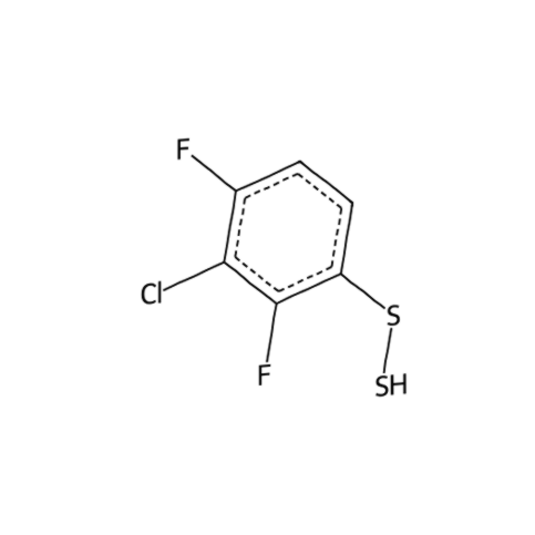 Fc1ccc(SS)c(F)c1Cl